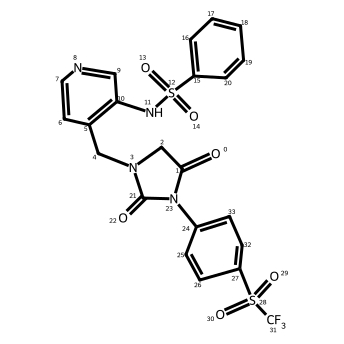 O=C1CN(Cc2ccncc2NS(=O)(=O)c2ccccc2)C(=O)N1c1ccc(S(=O)(=O)C(F)(F)F)cc1